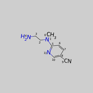 CN(CCN)c1ccc(C#N)cn1